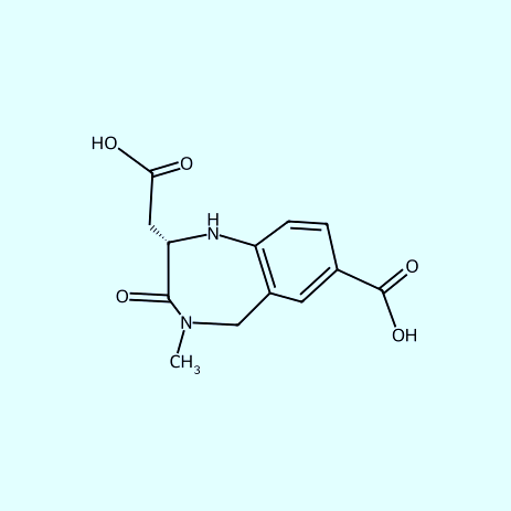 CN1Cc2cc(C(=O)O)ccc2N[C@@H](CC(=O)O)C1=O